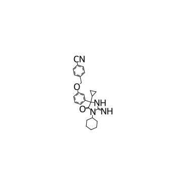 N#Cc1ccc(COc2cccc(C3(C4CC4)NC(=N)N(C4CCCCC4)C3=O)c2)cc1